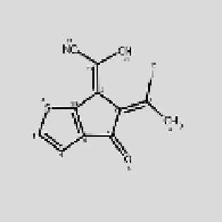 C/C(I)=C1\C(=O)c2ccsc2C1=C(C#N)C#N